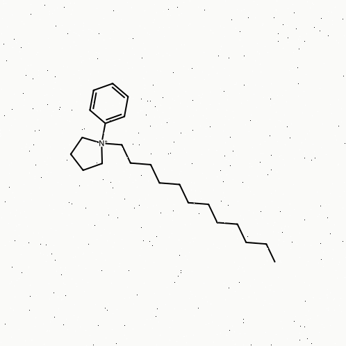 CCCCCCCCCCCC[N+]1(c2ccccc2)CCCC1